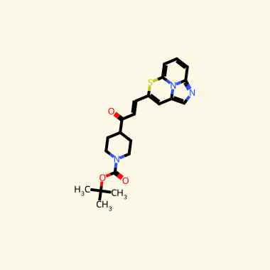 CC(C)(C)OC(=O)N1CCC(C(=O)/C=C/C2=Cc3cnc4cccc(n34)S2)CC1